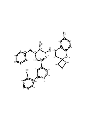 CCc1ccc2c(c1)[C@@H](NC[C@H](O)[C@H](Cc1ccccc1)NC(=O)c1ccnc(-c3ccccc3F)c1)CC1(CCC1)O2